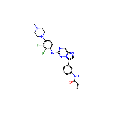 C=CC(=O)Nc1cccc(-c2cnc3cnc(Nc4ccc(N5CCN(C)CC5)c(F)c4F)nn23)c1